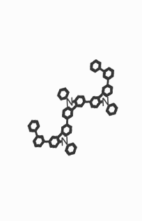 c1ccc(-c2cccc(-c3ccc4c(c3)c3cc(-c5ccc6c(c5)c5cc(-c7ccc8c(c7)c7cc(-c9cccc(-c%10ccccc%10)c9)ccc7n8-c7ccccc7)ccc5n6-c5ccccc5)ccc3n4-c3ccccc3)c2)cc1